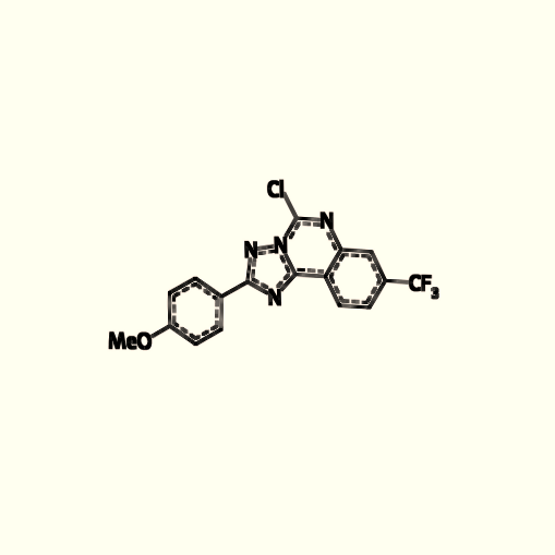 COc1ccc(-c2nc3c4ccc(C(F)(F)F)cc4nc(Cl)n3n2)cc1